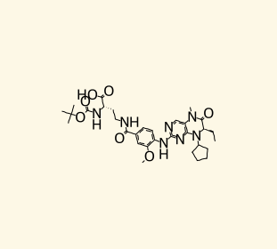 CC[C@@H]1C(=O)N(C)c2cnc(Nc3ccc(C(=O)NCC[C@H](NC(=O)OC(C)(C)C)C(=O)O)cc3OC)nc2N1C1CCCC1